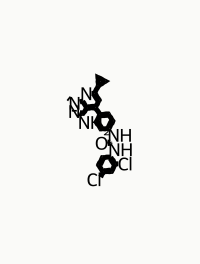 Cn1nc(N)c2c(-c3ccc(NC(=O)Nc4ccc(Cl)cc4Cl)cc3)cc(C3CC3)nc21